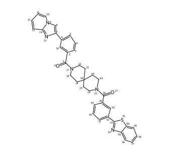 O=C(c1cccc(-c2cn3ccccc3n2)c1)N1CCC2(CC1)CCN(C(=O)c1cccc(-c3nc4ccccc4s3)c1)CC2